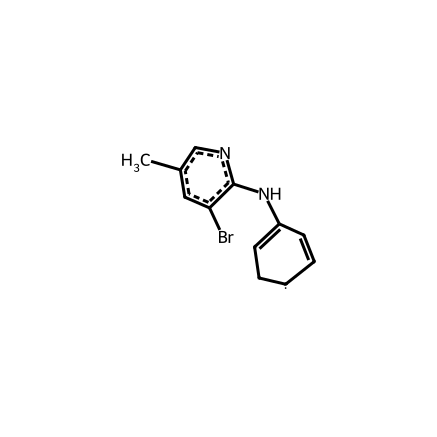 Cc1cnc(NC2=CC[CH]C=C2)c(Br)c1